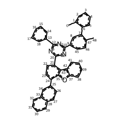 Cc1ccccc1-c1cc(-c2nc(-c3ccccc3)nc(-c3ccc(-c4ccc5ccccc5c4)c4oc5ccccc5c34)n2)ccc1C